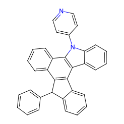 c1ccc(C2c3ccccc3-c3c2c2ccccc2c2c3c3ccccc3n2-c2ccncc2)cc1